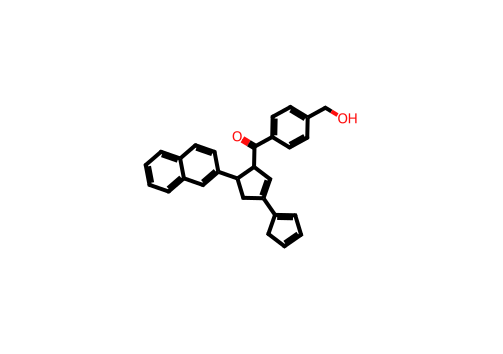 O=C(c1ccc(CO)cc1)C1C=C(C2=CC=CC2)CC1c1ccc2ccccc2c1